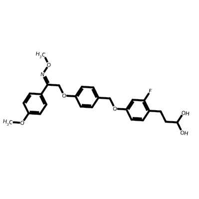 CO/N=C(\COc1ccc(COc2ccc(CCC(O)O)c(F)c2)cc1)c1ccc(OC)cc1